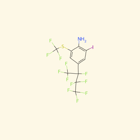 Nc1c(I)cc(C(F)(C(F)(F)F)C(F)(F)C(F)(F)F)cc1SC(F)(F)F